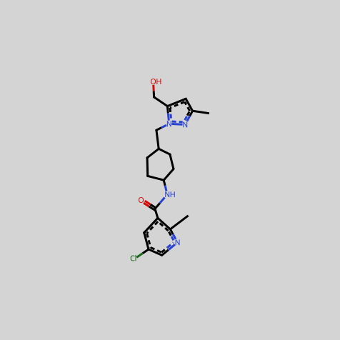 Cc1cc(CO)n(CC2CCC(NC(=O)c3cc(Cl)cnc3C)CC2)n1